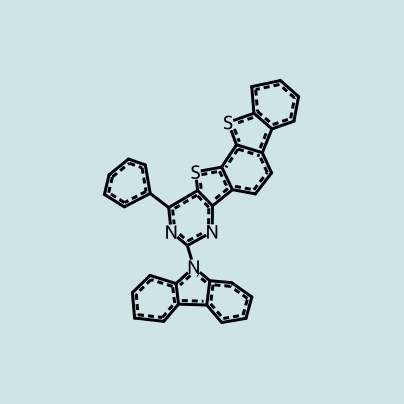 c1ccc(-c2nc(-n3c4ccccc4c4ccccc43)nc3c2sc2c3ccc3c4ccccc4sc32)cc1